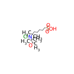 CC(=O)C(C)(C)N(Cl)C(C)(C)CCCCCS(=O)(=O)O